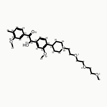 COCCOCCOCCN1CCC(c2ccc(C(O)C(=O)c3ccc(C)c(OC)c3)cc2OC)CC1